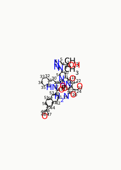 CC(C)(O)c1cnnn1[C@H]1C[C@@H](C(=O)NC2(C(=O)C(N)=O)CCOCC2)N(C(=O)C(CC2CCCCC2)NC(=O)c2ccc3cc(C4COC4)ccc3c2)C1